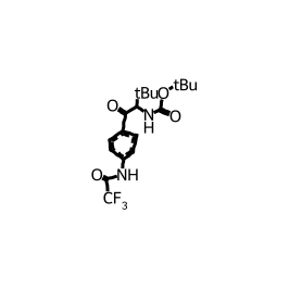 CC(C)(C)OC(=O)NC(C(=O)c1ccc(NC(=O)C(F)(F)F)cc1)C(C)(C)C